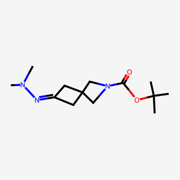 CN(C)N=C1CC2(C1)CN(C(=O)OC(C)(C)C)C2